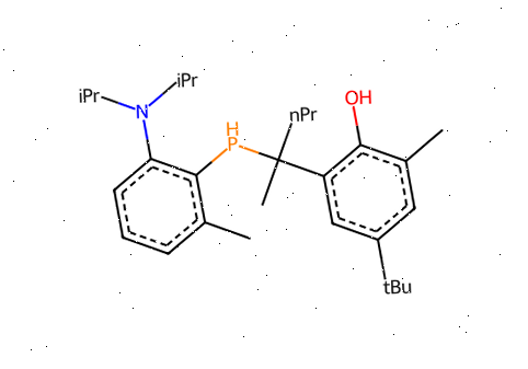 CCCC(C)(Pc1c(C)cccc1N(C(C)C)C(C)C)c1cc(C(C)(C)C)cc(C)c1O